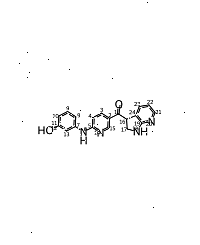 O=C(c1ccc(Nc2cccc(O)c2)nc1)C1CNc2ncccc21